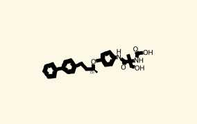 C[C@@H](CCc1ccc(-c2ccccc2)cc1)Oc1ccc(NC(=O)C(C)(CO)NC(=O)O)cc1